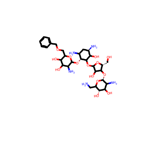 NCC1O[C@H](OC2C(O)C(OC3C(O)[C@H](N)CC(N)[C@H]3OC3OC(COCc4ccccc4)C(O)C(O)C3N)O[C@@H]2CO)C(N)C(O)[C@@H]1O